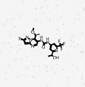 CO[C@@H](C)c1c(NC(=O)Nc2cc(C(C)O)nc(C(F)(F)F)c2)cnc2cc(F)nn12